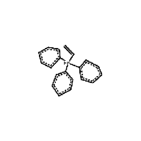 [CH]=C[PH](c1ccccc1)(c1ccccc1)c1ccccc1